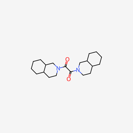 O=C(C(=O)N1CCC2CCCCC2C1)N1CCC2CCCCC2C1